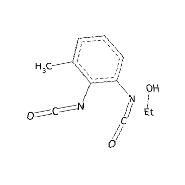 CCO.Cc1cccc(N=C=O)c1N=C=O